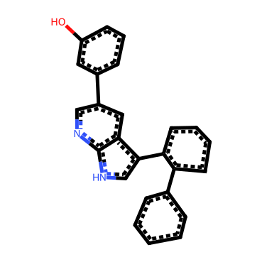 Oc1cccc(-c2cnc3[nH]cc(-c4ccccc4-c4ccccc4)c3c2)c1